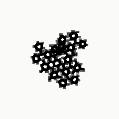 Cc1cc(C)c(N2c3cc4c(cc3B3c5sc6ccccc6c5Oc5cc(N(c6ccccc6)c6ccccc6)cc2c53)B2c3cc5c(cc3N(c3c(C)cc(C)cc3C)c3cc(N(c6ccccc6)c6ccccc6)cc(c32)N4c2c(C)cc(C)cc2C)Nc2cc(N(c3ccccc3)c3ccccc3)cc3c2B5c2sc4ccccc4c2N3c2ccccc2)c(C)c1